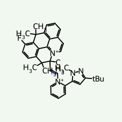 Cn1nc(C(C)(C)C)cc1-c1cccc[n+]1/C=C/C1(C)[n+]2ccc3cccc4c3c2-c2c(ccc(F)c2C4(C)C)C1(C)C